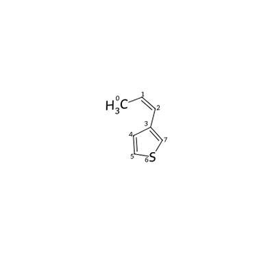 C/C=C\c1ccsc1